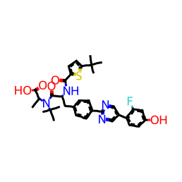 CC(C(=O)O)N(C(=O)C(Cc1ccc(-c2ncc(-c3ccc(O)cc3F)cn2)cc1)NC(=O)c1ccc(C(C)(C)C)s1)C(C)(C)C